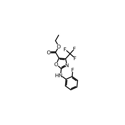 CCOC(=O)c1oc(Nc2ccccc2F)nc1C(F)(F)F